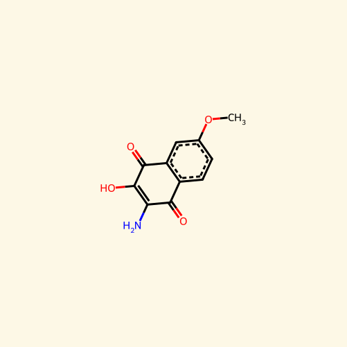 COc1ccc2c(c1)C(=O)C(O)=C(N)C2=O